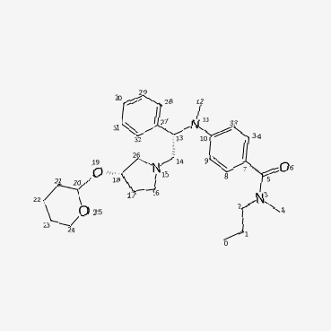 CCCN(C)C(=O)c1ccc(N(C)[C@H](CN2CC[C@H](OC3CCCCO3)C2)c2ccccc2)cc1